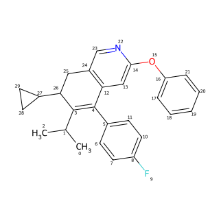 CC(C)C1=C(c2ccc(F)cc2)c2cc(Oc3ccccc3)ncc2CC1C1CC1